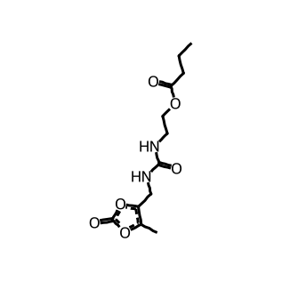 CCCC(=O)OCCNC(=O)NCc1oc(=O)oc1C